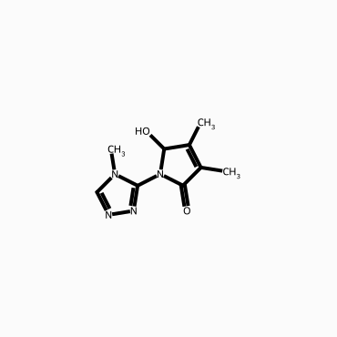 CC1=C(C)C(O)N(c2nncn2C)C1=O